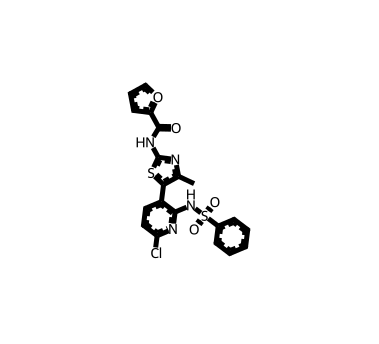 Cc1nc(NC(=O)c2ccco2)sc1-c1ccc(Cl)nc1NS(=O)(=O)c1ccccc1